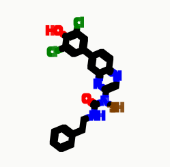 O=C(NCCc1ccccc1)N(S)c1cnc2ccc(-c3cc(Cl)c(O)c(Cl)c3)cc2n1